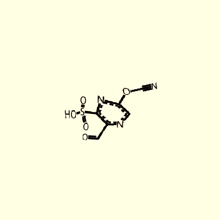 N#COc1cnc(C=O)c(S(=O)(=O)O)n1